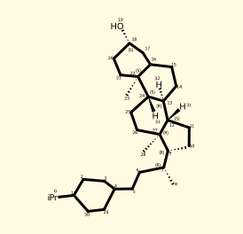 CC(C)C1CCC(CC[C@@H](C)[C@H]2CC[C@H]3[C@@H]4CCC5C[C@@H](O)CC[C@]5(C)[C@H]4CC[C@]23C)CC1